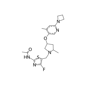 CC(=O)Nc1nc(F)c(CN2CC(Oc3cnc(N4CCC4)cc3C)CC2C)s1